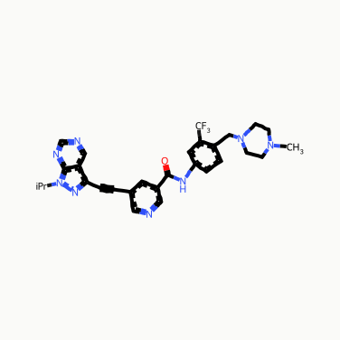 CC(C)n1nc(C#Cc2cncc(C(=O)Nc3ccc(CN4CCN(C)CC4)c(C(F)(F)F)c3)c2)c2cncnc21